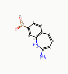 NC1=CC=Cc2ccc([SH](=O)=O)cc2N1